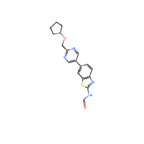 O=CNc1nc2ccc(-c3cnc(COC4CCCC4)nc3)cc2s1